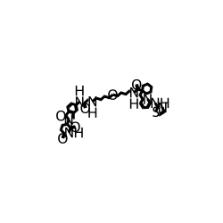 O=C1CCC(N2Cc3cc(NC(=O)CNCCCCOCCCCNC(=O)C4(Cc5cccc(Nc6nccs6)n5)CCCCC4)ccc3C2=O)C(=O)N1